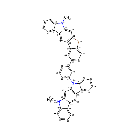 Cn1c2ccccc2c2cc3c(cc21)sc1ccc(-c2cccc(-n4c5ccccc5c5cc6c7ccccc7n(C)c6cc54)c2)cc13